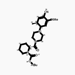 CNC1=CC(N2CCN(C(=O)[C@H]3CCCCN3C(=O)OC(C)(C)C)CC2)[C@@H](C)C=C1C#N